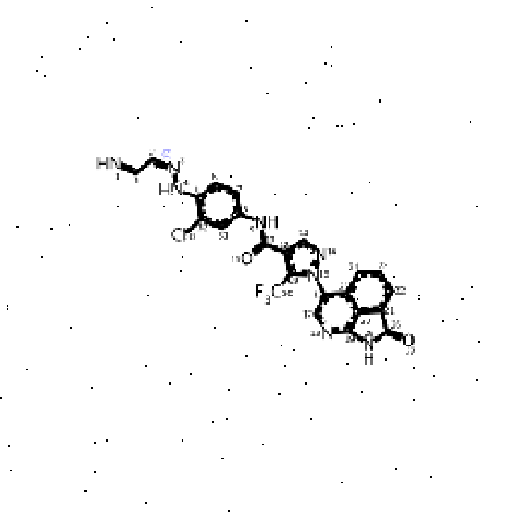 N=C/C=N\Nc1ccc(NC(=O)c2cnn(-c3cnc4c5c(cccc35)C(=O)N4)c2C(F)(F)F)cc1Cl